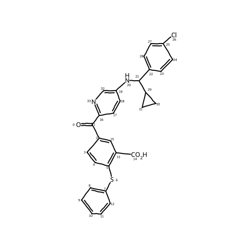 O=C(c1ccc(Sc2ccccc2)c(C(=O)O)c1)c1ccc(NC(c2ccc(Cl)cc2)C2CC2)cn1